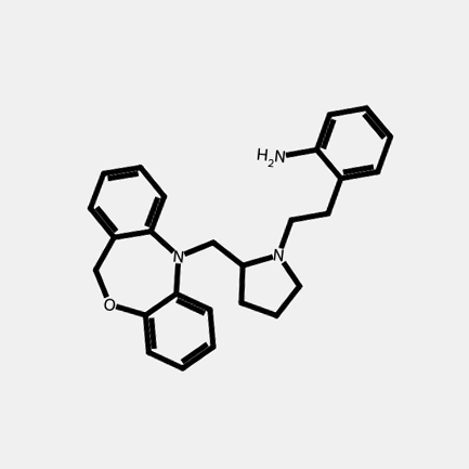 Nc1ccccc1CCN1CCCC1CN1c2ccccc2COc2ccccc21